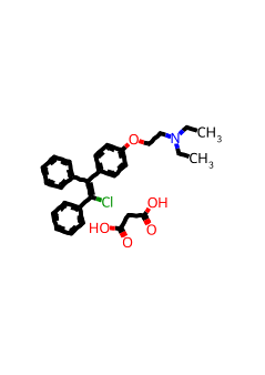 CCN(CC)CCOc1ccc(C(=C(Cl)c2ccccc2)c2ccccc2)cc1.O=C(O)CC(=O)O